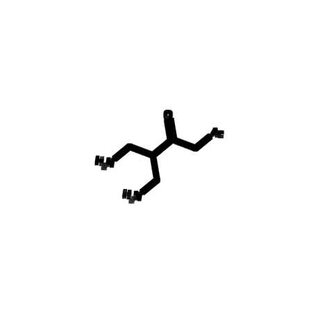 CC(=O)CC(=O)C(CN)CN